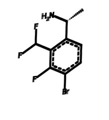 C[C@@H](N)c1ccc(Br)c(F)c1C(F)F